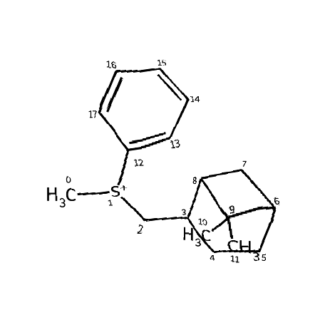 C[S+](CC1CCC2CC1C2(C)C)c1ccccc1